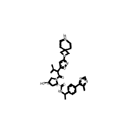 Cc1ncsc1-c1ccc(C(C)NC(=O)[C@@H]2C[C@@H](O)CN2C(=O)C(c2cc(N3CC4(CCNCC4)C3)no2)C(C)C)cc1